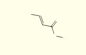 CCOC(=O)/C=C/C(C)(C)C